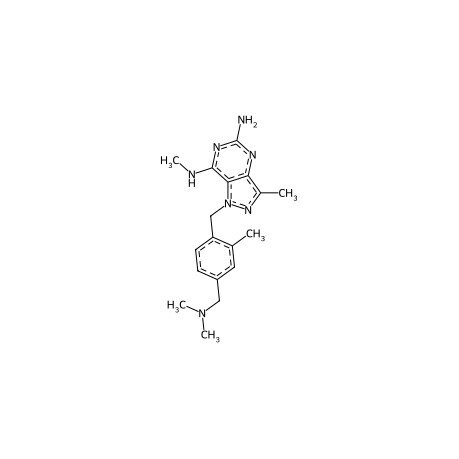 CNc1nc(N)nc2c(C)nn(Cc3ccc(CN(C)C)cc3C)c12